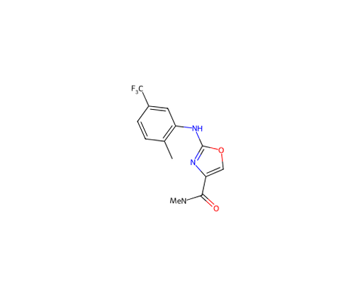 CNC(=O)c1coc(Nc2cc(C(F)(F)F)ccc2C)n1